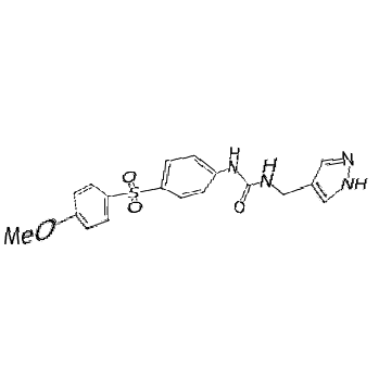 COc1ccc(S(=O)(=O)c2ccc(NC(=O)NCc3cn[nH]c3)cc2)cc1